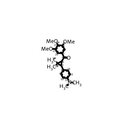 COc1cc(C(=O)C2C(c3ccc(N(C)C)cc3)C2(C)C)cc(OC)c1OC